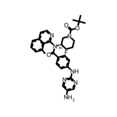 Cc1cccc2ccnc(N(C(=O)c3ccc(Nc4ncc(N)cn4)cc3F)[C@@H]3CCCN(C(=O)OC(C)(C)C)C3)c12